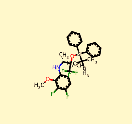 COc1c(N[C@H](C)[C@@](C)(O[Si](c2ccccc2)(c2ccccc2)C(C)(C)C)C(F)(F)F)ccc(F)c1F